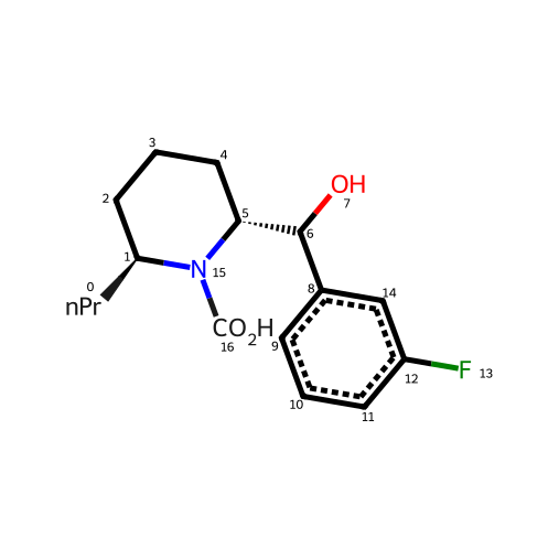 CCC[C@H]1CCC[C@H](C(O)c2cccc(F)c2)N1C(=O)O